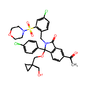 CC(=O)c1ccc2c(c1)C(=O)N(Cc1ccc(Cl)cc1S(=O)(=O)N1CCOCC1)C2(OCC1(CO)CC1)c1ccc(Cl)cc1